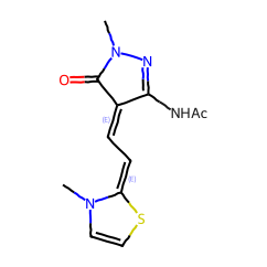 CC(=O)NC1=NN(C)C(=O)/C1=C/C=C1/SC=CN1C